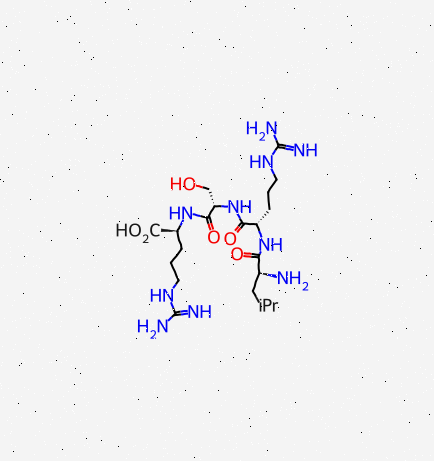 CC(C)C[C@H](N)C(=O)N[C@@H](CCCNC(=N)N)C(=O)N[C@@H](CO)C(=O)N[C@@H](CCCNC(=N)N)C(=O)O